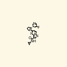 O=C(NC1CC1)c1cnn2ccc(N3CCC[C@@H]3C3C=C(F)C=NC3)nc12